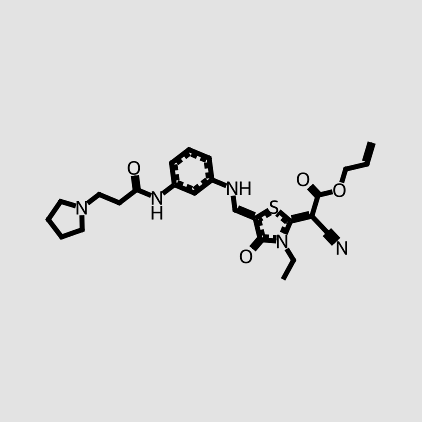 C=CCOC(=O)C(C#N)=c1sc(=CNc2cccc(NC(=O)CCN3CCCC3)c2)c(=O)n1CC